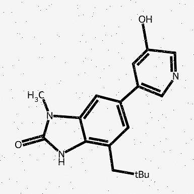 Cn1c(=O)[nH]c2c(CC(C)(C)C)cc(-c3cncc(O)c3)cc21